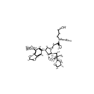 CCCCN(CCCO)C(=O)CN1C[C@H](c2cc(OC)c3c(c2)OCO3)[C@@H](C(=O)O)[C@@H]1CC(C)(C)C1OCCO1